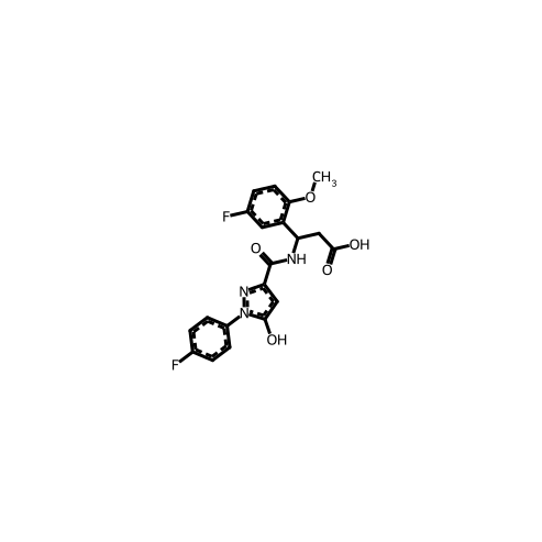 COc1ccc(F)cc1C(CC(=O)O)NC(=O)c1cc(O)n(-c2ccc(F)cc2)n1